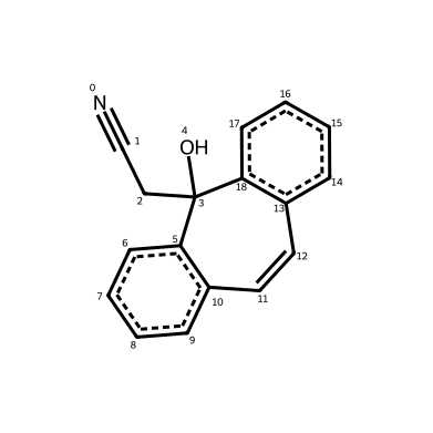 N#CCC1(O)c2ccccc2C=Cc2ccccc21